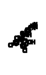 O=C(O)Cc1c(C(=O)Nc2ccc(Cn3cnnn3)cc2)nn(-c2ccc(Cl)cc2Cl)c1-c1ccc(Cl)cc1